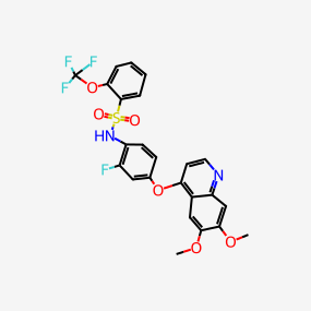 COc1cc2nccc(Oc3ccc(NS(=O)(=O)c4ccccc4OC(F)(F)F)c(F)c3)c2cc1OC